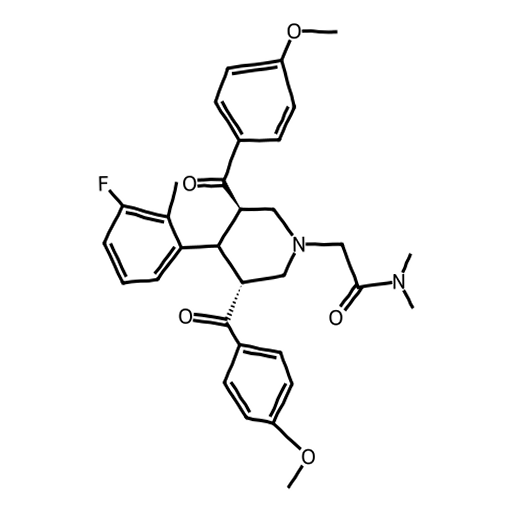 COc1ccc(C(=O)[C@H]2CN(CC(=O)N(C)C)C[C@H](C(=O)c3ccc(OC)cc3)C2c2cccc(F)c2C)cc1